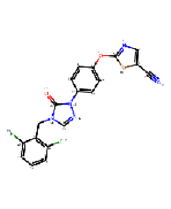 N#Cc1cnc(Oc2ccc(-n3ncn(Cc4c(F)cccc4F)c3=O)cc2)s1